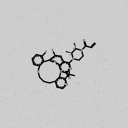 C=CC(=O)N1CCN(c2nc(=O)n3c4nc(c(F)cc24)-c2c(F)cccc2OCCCc2ccnc(C(C)C)c2-3)[C@@H](C)[C@H]1C